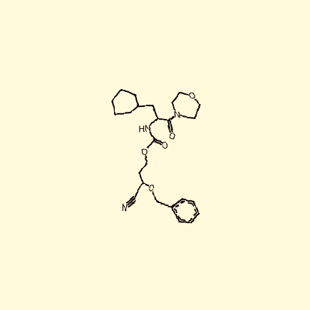 N#CC(CCOC(=O)NC(CC1CCCCC1)C(=O)N1CCOCC1)OCc1ccccc1